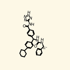 C[C@@H](NC(=O)NC(c1ccc(C(=O)Nc2nn[nH]n2)cc1)c1ccc(C2CCCCC2)cc1)c1ccccc1